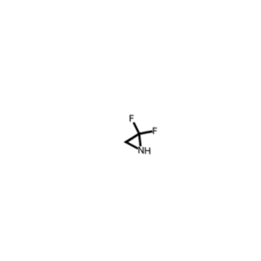 FC1(F)CN1